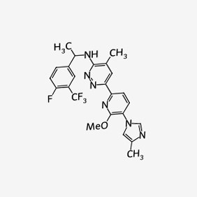 COc1nc(-c2cc(C)c(NC(C)c3ccc(F)c(C(F)(F)F)c3)nn2)ccc1-n1cnc(C)c1